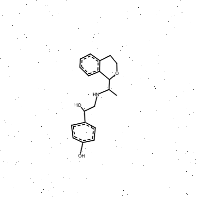 CC(NCC(O)c1ccc(O)cc1)C1OCCc2ccccc21